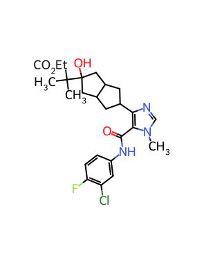 CCOC(=O)C(C)(C)C1(O)CC2CC(c3ncn(C)c3C(=O)Nc3ccc(F)c(Cl)c3)CC2C1